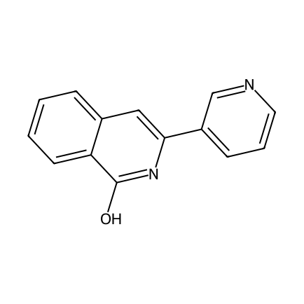 Oc1nc(-c2cccnc2)cc2ccccc12